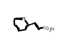 CCOC(=O)/C=C/c1ccccn1